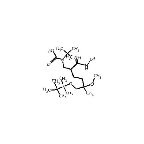 COC(C)(CCC(CN(C(=O)O)C(C)(C)C)C(=N)NO)CO[Si](C)(C)C(C)(C)C